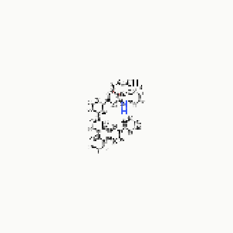 Cc1ccccc1-c1ccccc1Nc1cccc(-c2cccc(-c3ccc4c5ccccc5c5ccc(-c6ccccc6)cc5c4c3)c2)c1